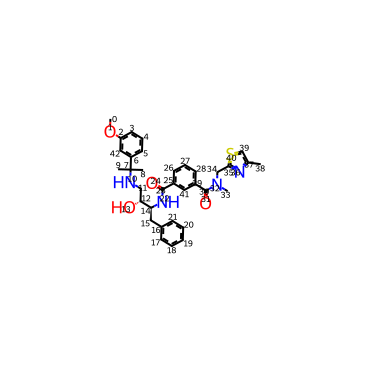 COc1cccc(C(C)(C)NC[C@@H](O)[C@H](Cc2ccccc2)NC(=O)c2cccc(C(=O)N(C)Cc3nc(C)cs3)c2)c1